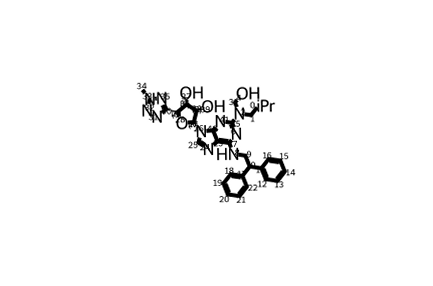 CC(C)CN(CO)c1nc(NCC(c2ccccc2)c2ccccc2)c2ncn([C@@H]3O[C@H](c4nnn(C)n4)[C@@H](O)[C@H]3O)c2n1